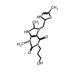 CC1=CNC(CN2c3c(n(C)c(=O)n(CCCO)c3=O)NC2C)S1